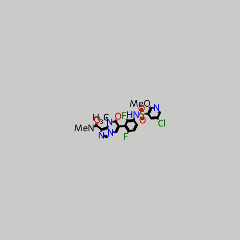 CNC(=O)c1ncn2cc(-c3c(F)ccc(NS(=O)(=O)c4cc(Cl)cnc4OC)c3F)c(=O)n(C)c12